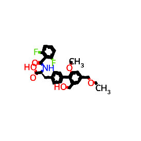 CCOCc1cc(CO)c(-c2ccc(C[C@H](NC(=O)c3c(F)cccc3F)C(=O)O)cc2)c(OC)c1